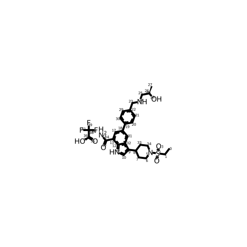 CCS(=O)(=O)N1CCC(c2c[nH]c3c(C(N)=O)cc(-c4ccc(CNC[C@@H](C)O)cc4)cc23)CC1.O=C(O)C(F)(F)F